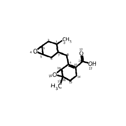 CC1CC2OC2CC1CC1=C(C(=O)O)CCC2(C)OC12